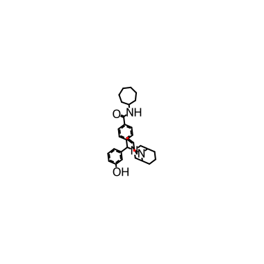 C=CCN1C2CCCC1CN(C(c1ccc(C(=O)NC3CCCCCC3)cc1)c1cccc(O)c1)C2